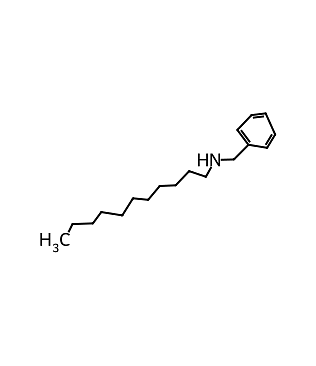 CCCCCCCCCCCNCc1ccccc1